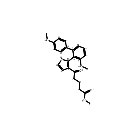 COC(=O)CCCC(=O)c1ccsc1-c1c(OC)cccc1-c1ccc(OC)cc1